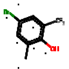 Cc1cc(Br)cc(C(F)(F)F)c1O